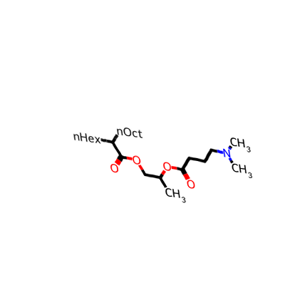 CCCCCCCCC(CCCCCC)C(=O)OCC(C)OC(=O)CCCN(C)C